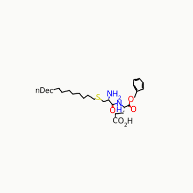 CCCCCCCCCCCCCCCCCCSC[C@@H](N)C(=O)N[C@@H](CCC(=O)O)C(=O)OCc1ccccc1